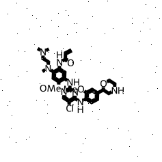 C=CC(=O)Nc1cc(Nc2ncc(Cl)c(Nc3ccc(C4CNCCO4)cc3OC)n2)c(OC)cc1N(C)CCN(C)C